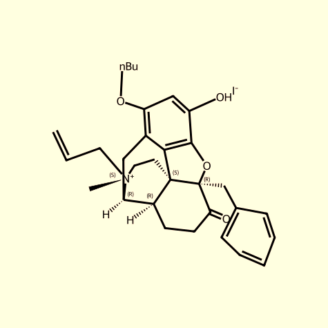 C=CC[N@+]1(C)CC[C@]23c4c5c(OCCCC)cc(O)c4O[C@@]2(Cc2ccccc2)C(=O)CC[C@H]3[C@H]1C5.[I-]